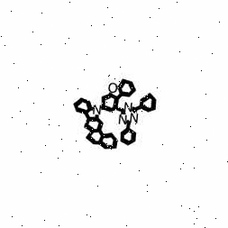 c1ccc(-c2nc(-c3ccccc3)nc(-c3cc(-n4c5ccccc5c5cc6ccc7ccccc7c6cc54)cc4oc5ccccc5c34)n2)cc1